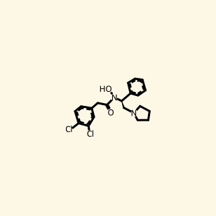 O=C(Cc1ccc(Cl)c(Cl)c1)N(O)[C@H](CN1CCCC1)c1ccccc1